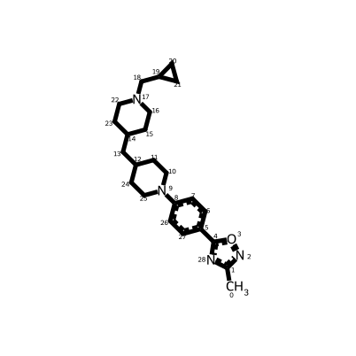 Cc1noc(-c2ccc(N3CCC(CC4CCN(CC5CC5)CC4)CC3)cc2)n1